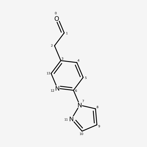 O=CCc1ccc(-n2cccn2)nc1